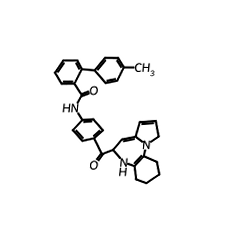 Cc1ccc(-c2ccccc2C(=O)Nc2ccc(C(=O)C3C=C4C=CCN4C4=C(CCCC4)N3)cc2)cc1